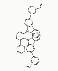 C=Cc1cccc(-c2ccc3c(c2)c2ccccc2n3-c2cccc(-c3ccccc3)c2-n2c3ccccc3c3cc(-c4cccc(C=C)c4)ccc32)c1